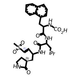 CC(C)CC(NC(=O)C(Cc1cccc2ccccc12)NC(=O)O)C(=O)NC(/C=C/S(C)(=O)=O)C[C@@H]1CCNC1=O